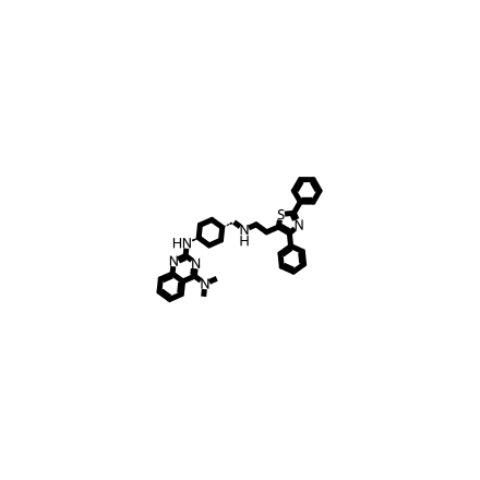 CN(C)c1nc(N[C@H]2CC[C@@H](CNCCc3sc(-c4ccccc4)nc3-c3ccccc3)CC2)nc2ccccc12